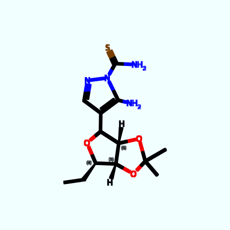 CC[C@H]1OC(c2cnn(C(N)=S)c2N)[C@@H]2OC(C)(C)O[C@H]12